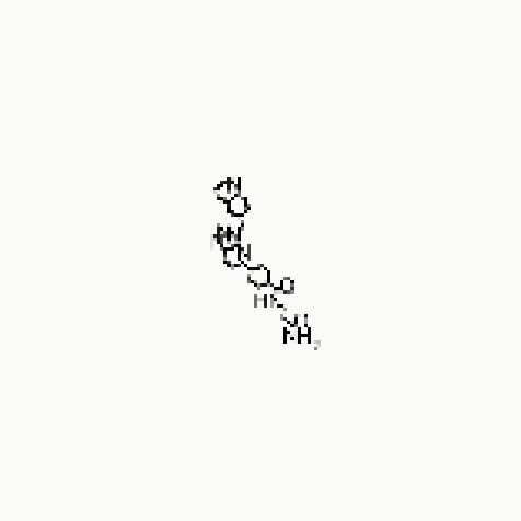 NC(=O)CCNC(=O)c1ccc(-c2ccc3nnn(Cc4ccc5ncccc5c4)c3n2)cc1